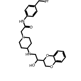 CC(C)Cc1ccc(NC(=O)CN2CCC(NCC(O)C3COc4ccccc4O3)CC2)cc1